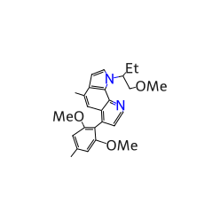 CCC(COC)n1ccc2c(C)cc3c(-c4c(OC)cc(C)cc4OC)ccnc3c21